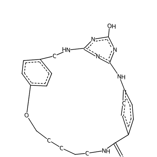 O=C1NCCCCCOc2ccc(cc2)CNc2nc(O)nc(n2)Nc2ccc1cc2